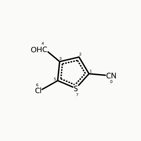 N#Cc1cc(C=O)c(Cl)s1